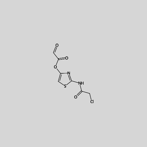 O=CC(=O)Oc1csc(NC(=O)CCl)n1